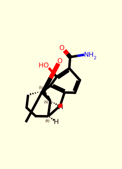 NC(=O)c1ccc2c(c1O)[C@]13CCC[C@H](C2)[C@@H]1CCC(=O)C3